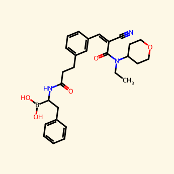 CCN(C(=O)C(C#N)=Cc1cccc(CCC(=O)NC(Cc2ccccc2)B(O)O)c1)C1CCOCC1